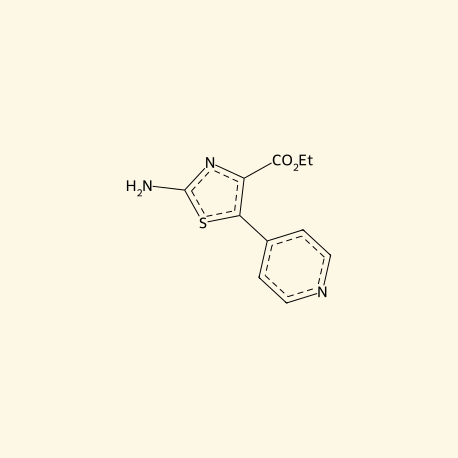 CCOC(=O)c1nc(N)sc1-c1ccncc1